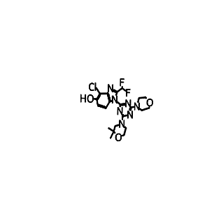 CC1(C)CN(c2nc(N3CCOCC3)nc(-n3c(C(F)F)nc4c(Cl)c(O)ccc43)n2)CCO1